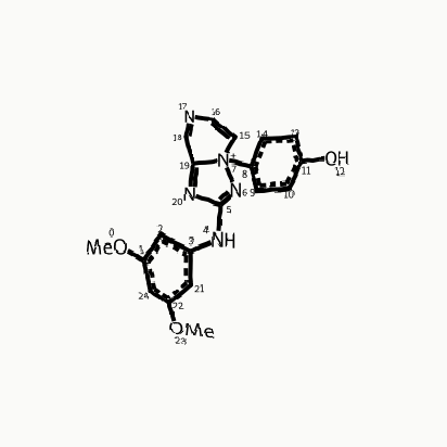 COc1cc(NC2=N[N+]3(c4ccc(O)cc4)C=CN=CC3=N2)cc(OC)c1